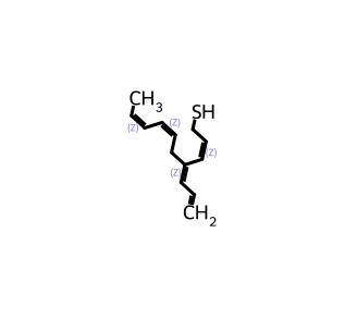 C=C/C=C(\C=C/CS)C/C=C\C=C/C